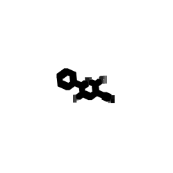 N#Cc1cc(F)c(-c2ccccc2)nc1Cl